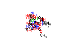 CCCCOc1ccc(NC(=O)NC(=O)C[C@@H]2CC(=O)[C@H](NC(=O)[C@H](CC)CC(C)C)[C@H](O)c3ccc(c(Cl)c3)Oc3cc4cc(c3O[C@@H]3O[C@H](CN)[C@@H](O)[C@H](O)[C@H]3O)Oc3ccc(cc3Cl)[C@@H](O)[C@@H]3NC(=O)[C@H](CC(=O)[C@@H]4NC2=O)c2ccc(O)c(c2)-c2c(O)cc(O)cc2[C@@H](C(=O)CC2C4CC5CC(C4)CC2C5)NC3=O)cc1